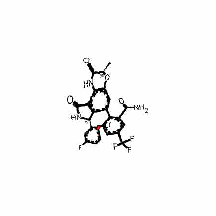 C[C@H]1Oc2cc(-c3c(F)cc(C(F)(F)F)cc3C(N)=O)c3c(c2NC1=O)C(=O)N[C@@H]3c1cc(F)ccc1Cl